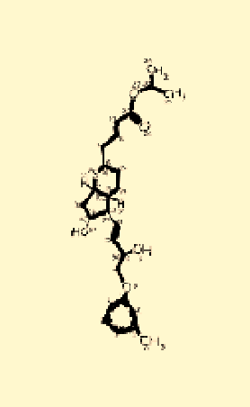 Cc1cccc(OC[C@H](O)C=C[C@@H]2[C@H]3CC[C@H](CCCC(=O)OC(C)C)S[C@H]3C[C@H]2O)c1